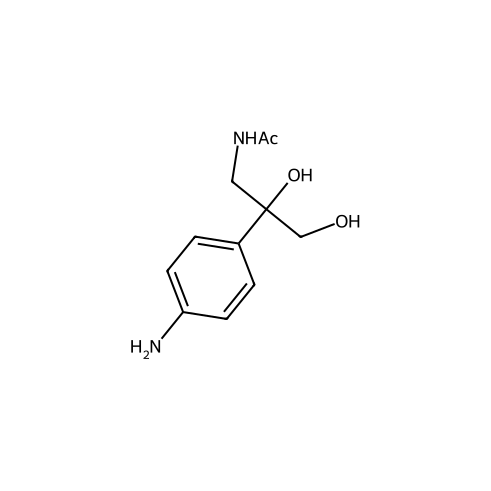 CC(=O)NCC(O)(CO)c1ccc(N)cc1